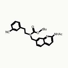 CC(=O)Nc1ccc2ccc(CN(CCc3cccc(C#N)c3)C(=O)OC(C)(C)C)cc2n1